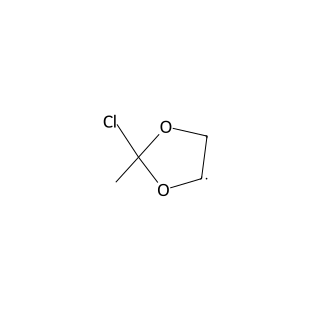 CC1(Cl)O[CH]CO1